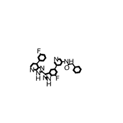 O=C(Cc1ccccc1)Nc1cncc(-c2cc(F)c3[nH]nc(-c4nc5c(-c6cccc(F)c6)ccnc5[nH]4)c3c2)c1